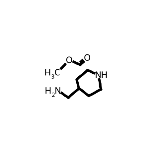 COC=O.NCC1CCNCC1